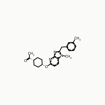 Cc1cccc(Cc2nc3nc(O[C@H]4CC[C@@H](C(C)=O)CC4)ccc3n2C)c1